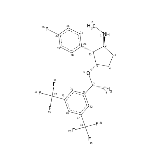 CN[C@H]1CC[C@H](O[C@H](C)c2cc(C(F)(F)F)cc(C(F)(F)F)c2)[C@@H]1c1ccc(F)cc1